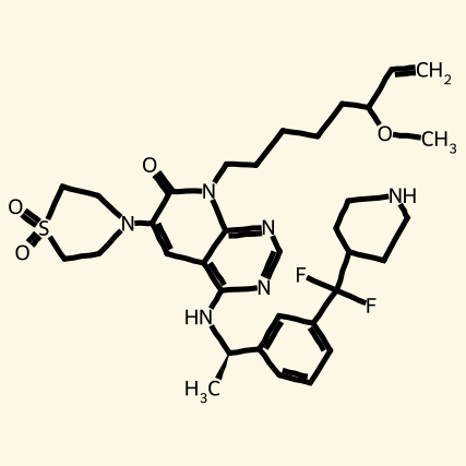 C=CC(CCCCCn1c(=O)c(N2CCS(=O)(=O)CC2)cc2c(N[C@H](C)c3cccc(C(F)(F)C4CCNCC4)c3)ncnc21)OC